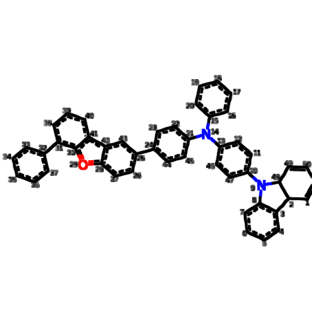 C1=CC2c3ccccc3N(c3ccc(N(c4ccccc4)c4ccc(-c5ccc6oc7c(-c8ccccc8)cccc7c6c5)cc4)cc3)C2C=C1